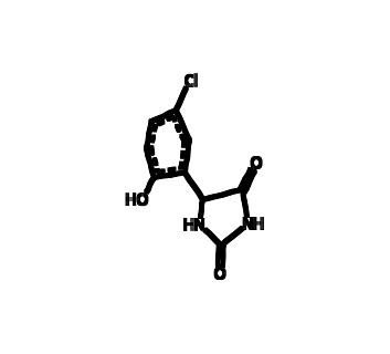 O=C1NC(=O)C(c2cc(Cl)ccc2O)N1